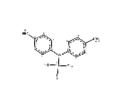 Cc1ccc(C(c2ccc(O)cc2)C(F)(F)F)cc1